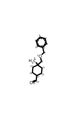 CC1(COCc2ccccc2)CCC(C=O)CC1